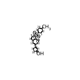 Cc1ccc(S(=O)(=O)n2ccc3cc(C4=C[C@H](O)CC4)cnc32)cc1